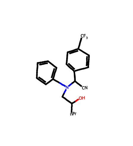 CCCC(O)CN(c1ccccc1)C(C#N)c1ccc(C(F)(F)F)cc1